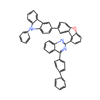 c1ccc(-c2ccc(-c3nc(-c4cccc5oc6ccc(-c7ccc8c(c7)c7ccccc7n8-c7ccccc7)cc6c45)nc4ccccc34)cc2)cc1